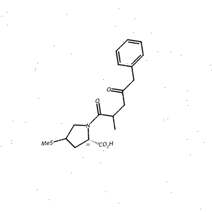 CSC1C[C@@H](C(=O)O)N(C(=O)C(C)CC(=O)Cc2ccccc2)C1